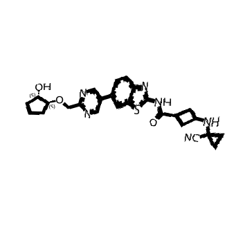 N#CC1(NC2CC(C(=O)Nc3nc4ccc(-c5cnc(CO[C@H]6CCC[C@@H]6O)nc5)cc4s3)C2)CC1